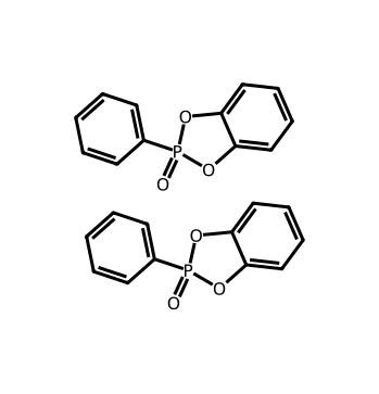 O=P1(c2ccccc2)Oc2ccccc2O1.O=P1(c2ccccc2)Oc2ccccc2O1